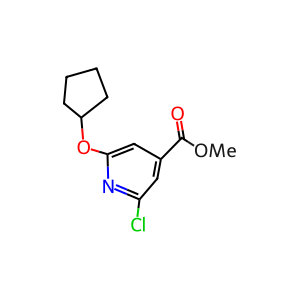 COC(=O)c1cc(Cl)nc(OC2CCCC2)c1